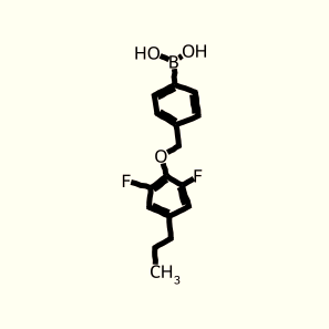 CCCc1cc(F)c(OCc2ccc(B(O)O)cc2)c(F)c1